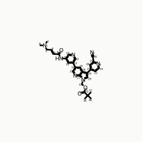 CN(C)CC=CC(=O)Nc1cncc(-c2cnc3c(c2)c(-c2ccnc(C#N)c2)cn3COC(=O)C(C)(C)C)c1